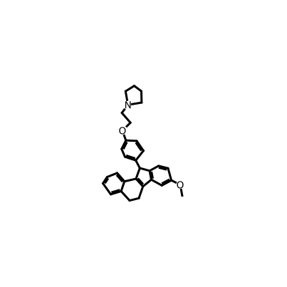 COc1ccc2c(c1)C1=C(c3ccccc3CC1)C2c1ccc(OCCN2CCCC2)cc1